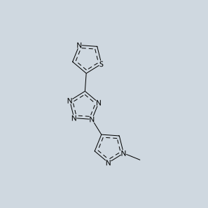 Cn1cc(-n2nnc(-c3cncs3)n2)cn1